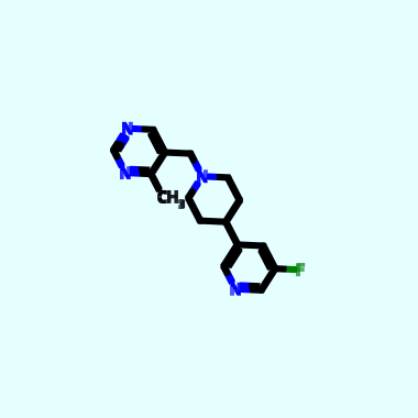 Cc1ncncc1CN1CCC(c2cncc(F)c2)CC1